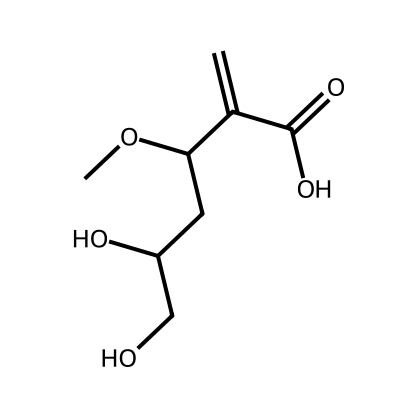 C=C(C(=O)O)C(CC(O)CO)OC